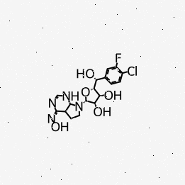 O/N=C1/N=CNC2C1CCN2[C@@H]1O[C@H]([C@H](O)c2ccc(Cl)c(F)c2)[C@@H](O)[C@H]1O